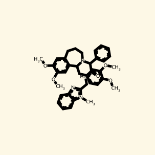 COc1ccc(CC2c3cc(OC)c(OC)cc3CCCN2C(C(=O)NCc2nc3ccccc3n2C)c2ccccc2)cc1OC